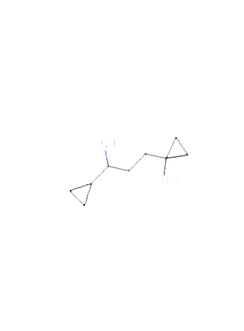 CC(C)(C)C1(CCC(N)C2CC2)CC1